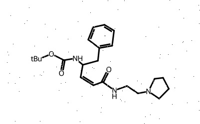 CC(C)(C)OC(=O)NC(/C=C\C(=O)NCCN1CCCC1)Cc1ccccc1